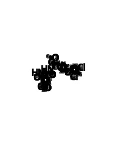 CC(=O)O[C@H](CNC(=O)c1c[nH]c(=O)c2cc(S(C)(=O)=O)ccc12)CN1CCC(Oc2ccc(Cl)c(C)c2Cl)CC1